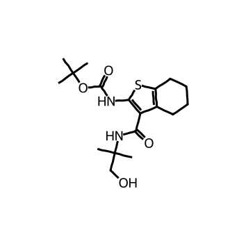 CC(C)(CO)NC(=O)c1c(NC(=O)OC(C)(C)C)sc2c1CCCC2